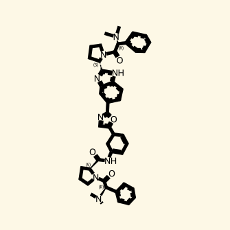 CN(C)[C@@H](C(=O)N1CCC[C@H]1C(=O)NC1=CC=CC(c2cnc(-c3ccc4[nH]c([C@@H]5CCCN5C(=O)[C@@H](c5ccccc5)N(C)C)nc4c3)o2)C1)c1ccccc1